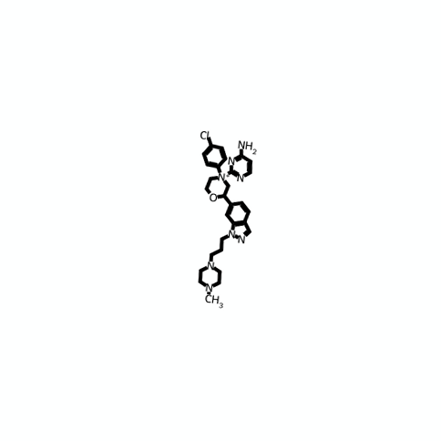 CN1CCN(CCCn2ncc3ccc(C4C[N+](c5ccc(Cl)cc5)(c5nccc(N)n5)CCO4)cc32)CC1